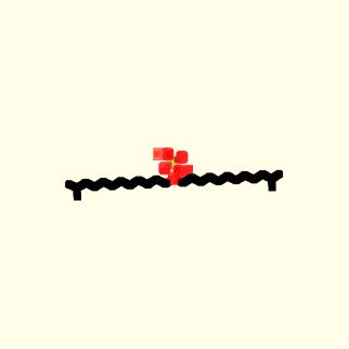 CC(C)CCCCCCCCCCOCCCCCCCCCCC(C)C.O=S(=O)(O)O